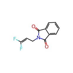 O=C1c2ccccc2C(=O)N1CC=C(F)F